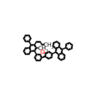 C=C/C=C\c1c(C)c(-c2cccc3c2oc2cc(-c4c5ccccc5c(-c5ccccc5)c5ccccc45)ccc23)c2ccccc2c1-c1ccccc1